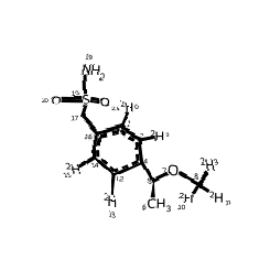 [2H]c1c([2H])c([C@H](C)OC([2H])([2H])[2H])c([2H])c([2H])c1CS(N)(=O)=O